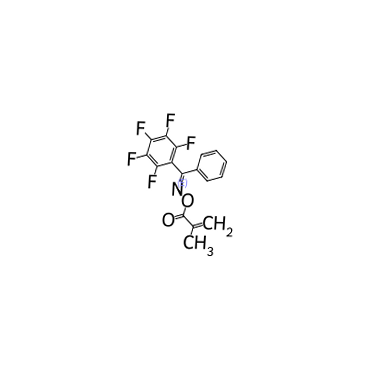 C=C(C)C(=O)O/N=C(\c1ccccc1)c1c(F)c(F)c(F)c(F)c1F